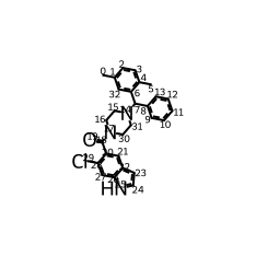 Cc1ccc(C)c(C(c2ccccc2)N2CCN(C(=O)c3cc4cc[nH]c4cc3Cl)CC2)c1